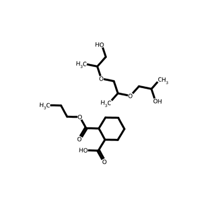 CC(O)COC(C)COC(C)CO.CCCOC(=O)C1CCCCC1C(=O)O